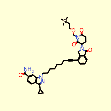 C[Si](C)(C)CCOCN1C(=O)CCC(N2Cc3c(C#CCCCCCCCn4nc(C5CC5)c5ccc(C(N)=O)cc54)cccc3C2=O)C1=O